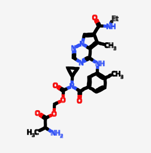 CCNC(=O)c1cn2ncnc(Nc3cc(C(=O)N(C(=O)OCOC(=O)C(C)N)C4CC4)ccc3C)c2c1C